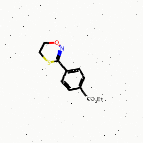 CCOC(=O)c1ccc(C2=NOCCS2)cc1